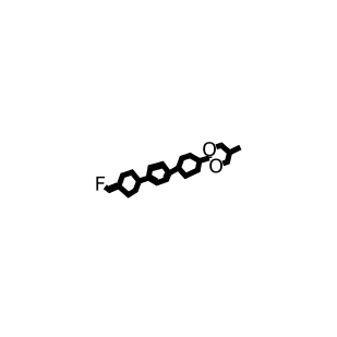 CC1COC(C2CCC(c3ccc(C4CCC(=CF)CC4)cc3)CC2)OC1